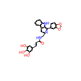 O=C(/C=C/c1cc(O)c(O)c(O)c1)NCc1cc2c([nH]c3ccccc32)c(-c2ccc3c(c2)OCO3)n1